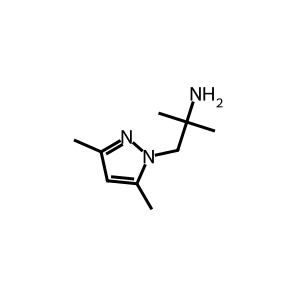 Cc1cc(C)n(CC(C)(C)N)n1